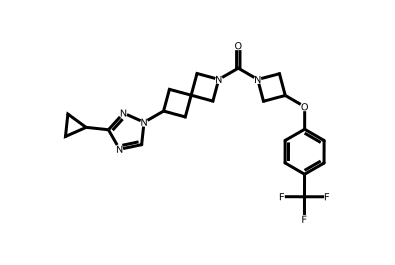 O=C(N1CC(Oc2ccc(C(F)(F)F)cc2)C1)N1CC2(CC(n3cnc(C4CC4)n3)C2)C1